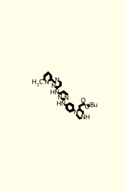 CCC(C)OC(=O)CC1CNCCN1c1ccc(Nc2nccc(Nc3ccnc(-c4cccc(C)n4)n3)n2)cc1